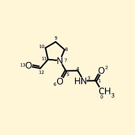 CC(=O)NCC(=O)N1CCCC1C=O